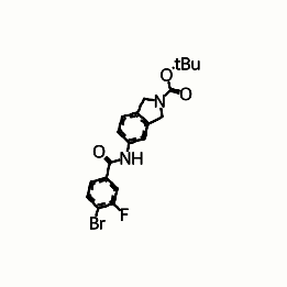 CC(C)(C)OC(=O)N1Cc2ccc(NC(=O)c3ccc(Br)c(F)c3)cc2C1